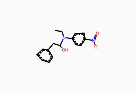 CCN(c1ccc([N+](=O)[O-])cc1)C(O)Cc1ccccc1